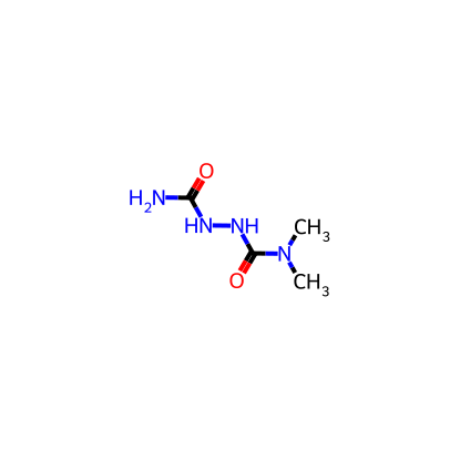 CN(C)C(=O)NNC(N)=O